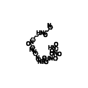 CC(OCCNc1cccc2c1C(=O)N(C1CCC(=O)NC1=O)C2=O)C(=O)C1CN(C2CCN(c3ccc(C(=O)N4CCC(CCCCNC(=O)/C=C/c5cccnc5)CC4)cn3)CC2)CCN1